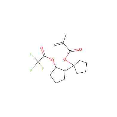 C=C(C)C(=O)OC1(C2CCCC2OC(=O)C(F)(F)F)CCCC1